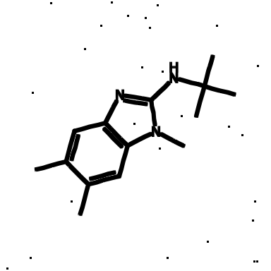 Cc1cc2nc(NC(C)(C)C)n(C)c2cc1C